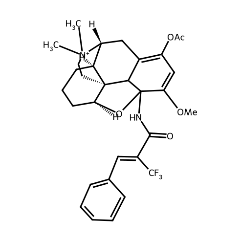 COC1=CC(OC(C)=O)=C2C[C@@H]3[C@@H]4CCC[C@@H]5OC1(NC(=O)C(=Cc1ccccc1)C(F)(F)F)C2[C@@]54CC[N+]3(C)C